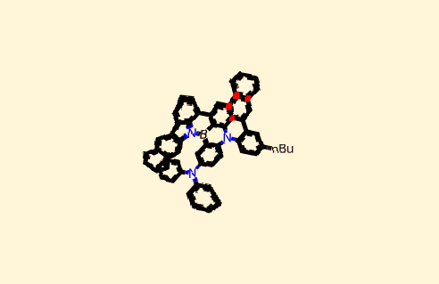 CCCCc1ccc(N2c3ccc(N(c4ccccc4)c4ccccc4)cc3B3c4c(cc(-c5ccccc5)cc42)-c2cccc4c5cc6ccccc6cc5n3c24)c(-c2ccccc2)c1